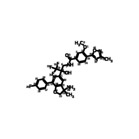 COc1cc(C(=O)NCC(O)(c2cc3c(c(-c4ccc(F)cc4)n2)OCC3(C)N)C(F)(F)F)ccc1-c1nc(C)no1